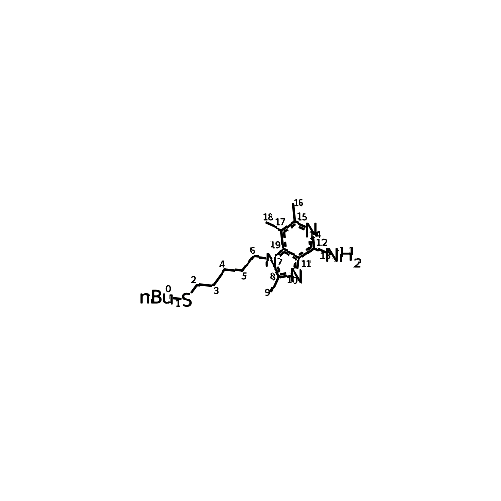 CCCCSCCCCCn1c(C)nc2c(N)nc(C)c(C)c21